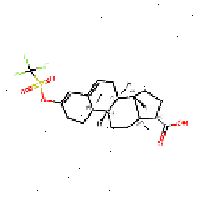 C[C@]12CC[C@H]3[C@@H](CC=C4C=C(OS(=O)(=O)C(F)(F)F)CC[C@@]43C)[C@@H]1CC[C@@H]2C(=O)O